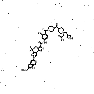 Cn1c(-c2cn(-c3cc4cc(CO)[nH]c4cn3)nc2C(F)(F)F)cnc1C(=O)Nc1ccc(C(=O)N2CCN(C(=O)C3CC[N+](CC(=O)O)(CC4CNC4)CC3)CC2)c(Cl)c1